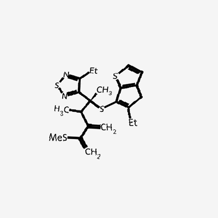 C=C(SC)C(=C)C(C)[C@@](C)(SC1=C(CC)Cc2ccsc21)c1nsnc1CC